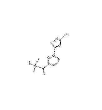 Cc1nnc(-c2ccc(C(=O)C(F)(F)F)s2)o1